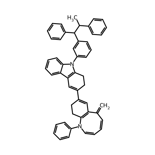 C=C1/C=C\C=C/N(c2ccccc2)C2=C1C=C(C1=Cc3c(n(-c4cccc(C(c5ccccc5)C(C)c5ccccc5)c4)c4ccccc34)CC1)CC2